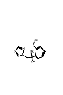 CCCCOc1ccccc1C(C#N)(CCCC)Cn1cncn1